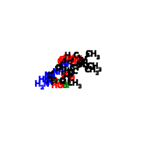 CCC[CH2][Sn]([CH2]CCC)([CH2]CCC)[O][Sn]([CH2]CCC)([CH2]CCC)[CH2]CCC.CCc1oc2ccccc2c1C(=O)c1cc(Br)c(O)c(Br)c1.Nc1nc(=O)c2nc(CNc3ccc(C(=O)N[C@@H](CCC(=O)O)C(=O)O)cc3)cnc2[nH]1